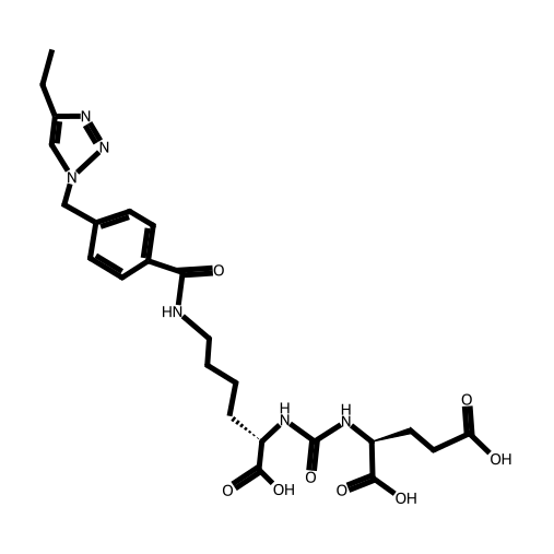 CCc1cn(Cc2ccc(C(=O)NCCCC[C@H](NC(=O)N[C@@H](CCC(=O)O)C(=O)O)C(=O)O)cc2)nn1